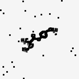 CCCO[C@@H](C)C(=O)Oc1ccc(C(=O)O)cc1